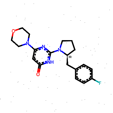 O=c1cc(N2CCOCC2)nc(N2CCC[C@H]2Cc2ccc(F)cc2)[nH]1